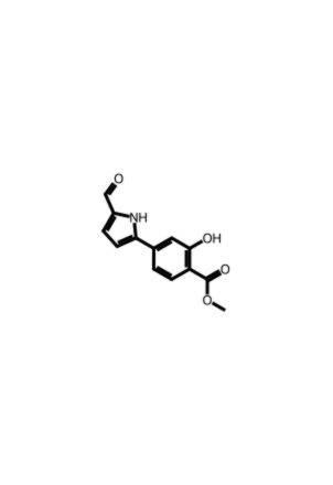 COC(=O)c1ccc(-c2ccc(C=O)[nH]2)cc1O